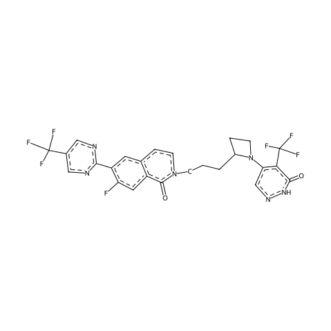 O=c1[nH]ncc(N2CCC2CCCn2ccc3cc(-c4ncc(C(F)(F)F)cn4)c(F)cc3c2=O)c1C(F)(F)F